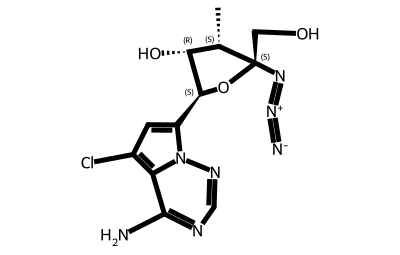 C[C@H]1[C@@H](O)[C@H](c2cc(Cl)c3c(N)ncnn23)O[C@@]1(CO)N=[N+]=[N-]